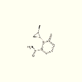 C[C@@H]1C[C@H]1n1c(C(N)=O)cccc1=O